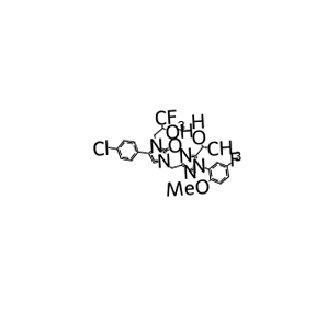 COc1ccc(F)cc1-n1nc(Cn2cc(-c3ccc(Cl)cc3)n(C[C@H](O)C(F)(F)F)c2=O)nc1[C@H](C)O